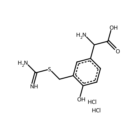 Cl.Cl.N=C(N)SCc1cc(C(N)C(=O)O)ccc1O